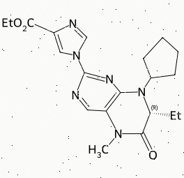 CCOC(=O)c1cn(-c2ncc3c(n2)N(C2CCCC2)[C@H](CC)C(=O)N3C)cn1